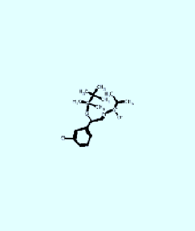 CC(C)[S@@+]([O-])/N=C/[C@H](O[Si](C)(C)C(C)(C)C)c1cccc(Cl)c1